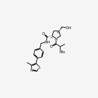 Cc1ncsc1-c1ccc(CNC(=O)[C@@H]2C[C@@H](CO)CN2C(=O)C(C)C(C)(C)C)cc1